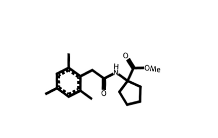 COC(=O)C1(NC(=O)Cc2c(C)cc(C)cc2C)CCCC1